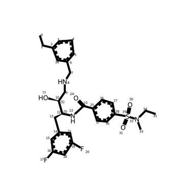 CCc1cccc(CNC[C@H](O)[C@H](Cc2cc(F)cc(F)c2)NC(=O)c2ccc(S(=O)(=O)N(C)CC)cc2)c1